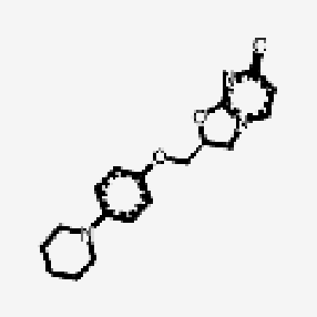 O=c1ccn2c(n1)O[C@H](COc1ccc(N3CCCCC3)cc1)C2